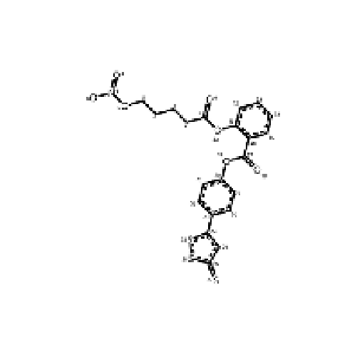 O=C(CCCCO[N+](=O)[O-])Oc1ccccc1C(=O)Oc1ccc(-c2cc(=S)ss2)cc1